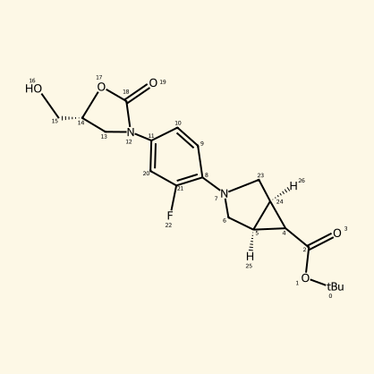 CC(C)(C)OC(=O)C1[C@H]2CN(c3ccc(N4C[C@H](CO)OC4=O)cc3F)C[C@@H]12